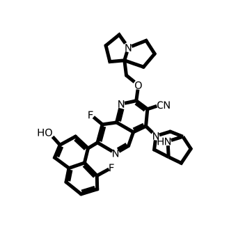 N#Cc1c(OCC23CCCN2CCC3)nc2c(F)c(-c3cc(O)cc4cccc(F)c34)ncc2c1N1CC2CCC(C1)N2